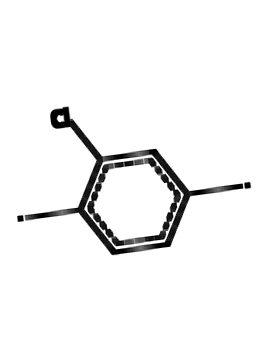 [CH2]c1ccc([CH2])c(Cl)c1